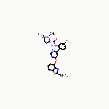 CC(=O)Nc1nc2c(Oc3cc(-c4ccc(C(F)(F)F)cc4NC(=O)[C@@H]4CC[C@@H](C)N4C)ncn3)cccc2s1